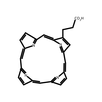 O=C(O)CCC1=CC2=NC1=CC1=NC(=CC3=NC(=CC4=NC(=C2)C=C4)C=C3)C=C1